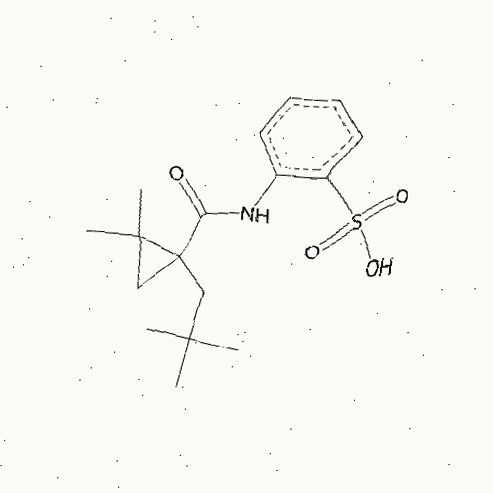 CC(C)(C)CC1(C(=O)Nc2ccccc2S(=O)(=O)O)CC1(C)C